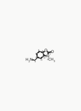 Cn1c(=O)oc2ccc(CN)cc21